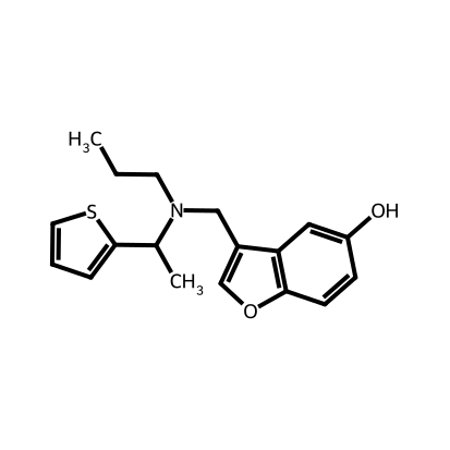 CCCN(Cc1coc2ccc(O)cc12)C(C)c1cccs1